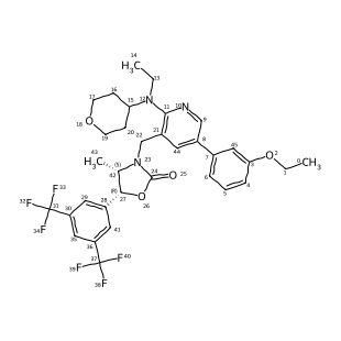 CCOc1cccc(-c2cnc(N(CC)C3CCOCC3)c(CN3C(=O)O[C@H](c4cc(C(F)(F)F)cc(C(F)(F)F)c4)[C@@H]3C)c2)c1